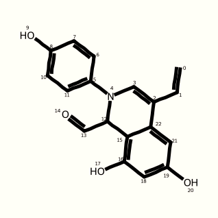 C=CC1=CN(c2ccc(O)cc2)C(C=O)c2c(O)cc(O)cc21